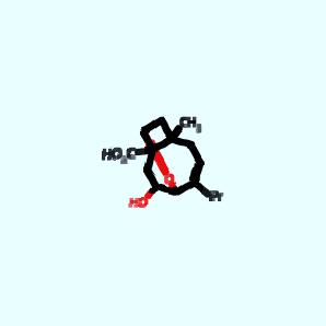 CC(C)/C1=C/CC2(C)CC3OOC1C(O)CC32C(=O)O